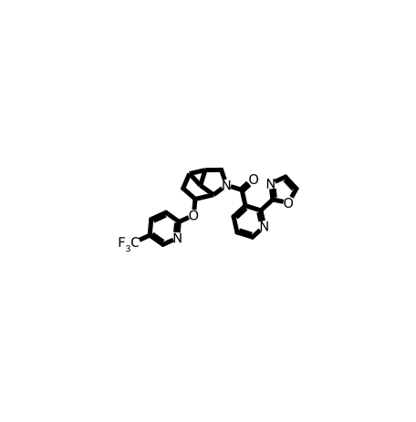 O=C(c1cccnc1-c1ncco1)N1CC2C3CC(Oc4ccc(C(F)(F)F)cn4)C1C32